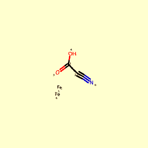 N#CC(=O)O.[Fe].[Fe]